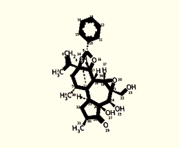 C=C(C)[C@]12C[C@@H](C)[C@@]34O[C@](c5ccccc5)(O[C@@H]1[C@@H]3[C@@H]1O[C@]1(CO)[C@@H](O)[C@]1(O)C(=O)[C@@H](C)C[C@H]14)O2